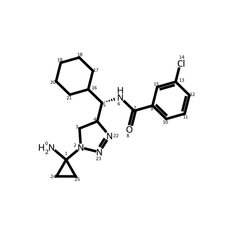 NC1(N2CC([C@@H](NC(=O)c3cccc(Cl)c3)C3CCCCC3)N=N2)CC1